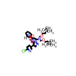 CC(C)(C)OC(=O)N1C2CC[C@@H]1CC(c1cc(N(COCC[Si](C)(C)C)COCC[Si](C)(C)C)n3ncc(-c4ccc(Cl)nc4)c3n1)C2